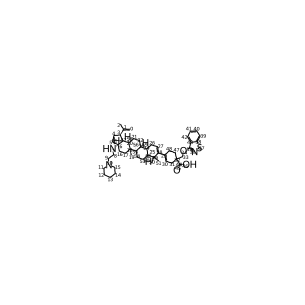 C=C(C)[C@@H]1CC[C@]2(NCCN3CCCCC3)CC[C@]3(C)[C@H](CC[C@@H]4[C@@]5(C)CC=C(C6=CCC(COc7nsc8ccccc78)(C(=O)O)CC6)C(C)(C)[C@@H]5CC[C@]43C)[C@@H]12